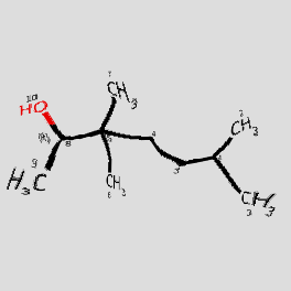 CC(C)CCC(C)(C)[C@@H](C)O